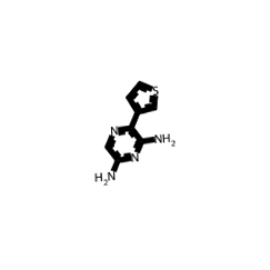 Nc1cnc(-c2ccsc2)c(N)n1